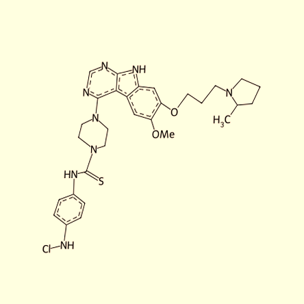 COc1cc2c(cc1OCCCN1CCCC1C)[nH]c1ncnc(N3CCN(C(=S)Nc4ccc(NCl)cc4)CC3)c12